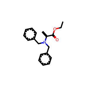 C=C(C(=O)OCC)N(Cc1ccccc1)Cc1ccccc1